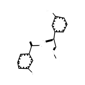 O=C(N/N=C(\C=N\O)c1cccc(O)c1)c1cccc(Br)c1